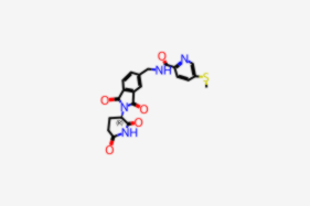 CSc1ccc(C(=O)NCc2ccc3c(c2)C(=O)N([C@@H]2CCC(=O)NC2=O)C3=O)nc1